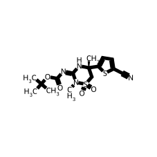 CN1/C(=N\C(=O)OC(C)(C)C)N[C@](C)(c2ccc(C#N)s2)CS1(=O)=O